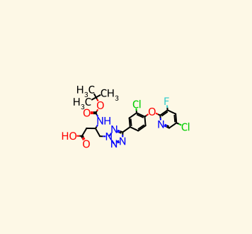 CC(C)(C)OC(=O)NC(CC(=O)O)Cn1nnc(-c2ccc(Oc3ncc(Cl)cc3F)c(Cl)c2)n1